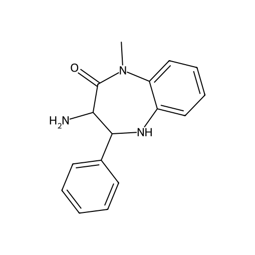 CN1C(=O)C(N)C(c2ccccc2)Nc2ccccc21